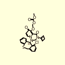 COC(=O)OCOc1c2n(ccc1=O)N([C@@H]1c3ccccc3SCc3cccc(Cl)c31)CN(C13CC(C1)C3)C2=O